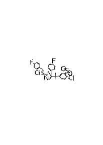 CC(C)(c1ccc(Cl)c(S(C)(=O)=O)c1)c1cnc(SCc2ccc(F)cc2Cl)n1-c1ccc(F)cc1